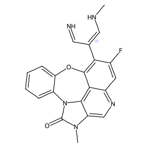 CN/C=C(\C=N)c1c(F)cc2ncc3c4c2c1oc1ccccc1n4c(=O)n3C